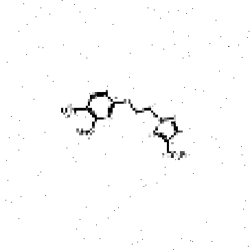 CCOC(=O)c1ccn(CCOc2ccc([N+](=O)[O-])c(OC)c2)n1